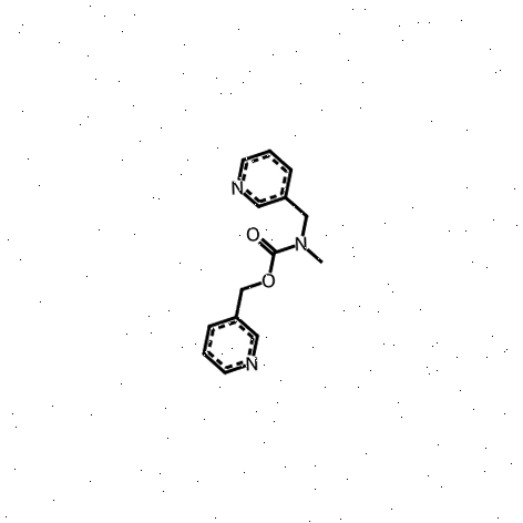 CN(Cc1cccnc1)C(=O)OCc1cccnc1